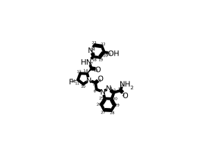 NC(=O)c1nn(CC(=O)N2C[C@H](F)C[C@H]2C(=O)Nc2cc(O)ccn2)c2ccccc12